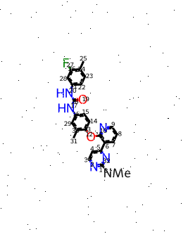 CNc1nccc(-c2cccnc2Oc2ccc(NC(=O)Nc3ccc(C)c(F)c3)cc2C)n1